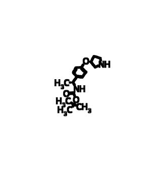 C[C@H](NC(=O)OC(C)(C)C)c1ccc(O[C@@H]2CCNC2)cc1